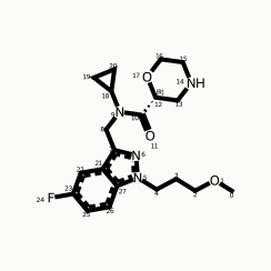 COCCCn1nc(CN(C(=O)[C@H]2CNCCO2)C2CC2)c2cc(F)ccc21